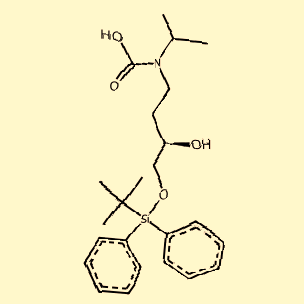 CC(C)N(CC[C@@H](O)CO[Si](c1ccccc1)(c1ccccc1)C(C)(C)C)C(=O)O